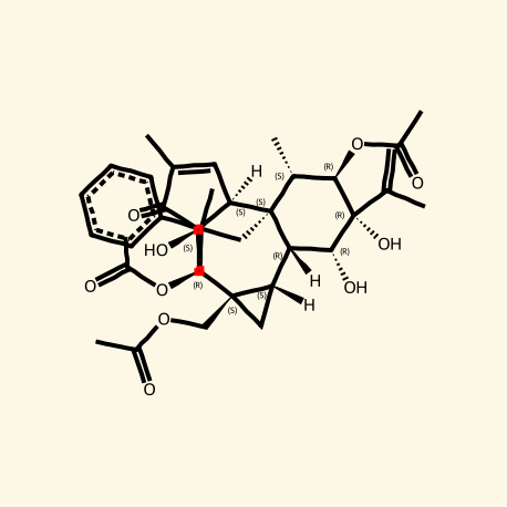 C=C(C)[C@@]1(O)[C@H](O)[C@@H]2[C@@H]3C[C@]3(COC(C)=O)[C@@H](OC(C)=O)[C@]3(O)C(=O)C(C)=C[C@H]3[C@@]2(CC(C)(C)c2ccccc2)[C@H](C)[C@H]1OC(C)=O